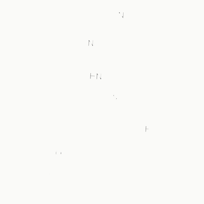 Fc1cc2c(cc1SNc1ccncn1)OCCC2